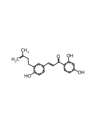 C=C(C)CCc1cc(C=CC(=O)c2ccc(O)cc2O)ccc1O